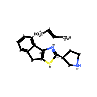 O=C(O)/C=C/C(=O)O.c1ccc2c(c1)Cc1sc([C@H]3CCNC3)nc1-2